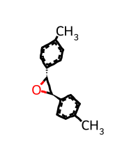 Cc1ccc([C@H]2O[C@@H]2c2ccc(C)cc2)cc1